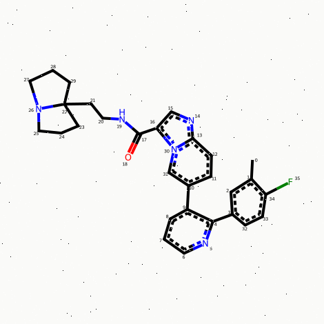 Cc1cc(-c2ncccc2-c2ccc3ncc(C(=O)NCCC45CCCN4CCC5)n3c2)ccc1F